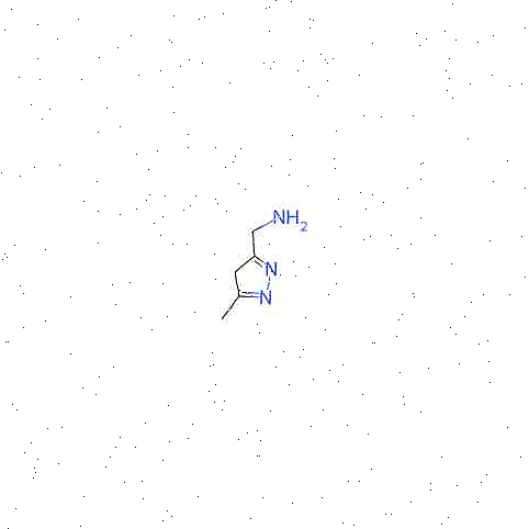 CC1=NN=C(CN)C1